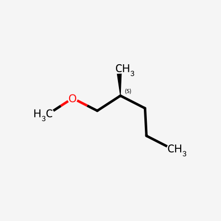 CCC[C@H](C)COC